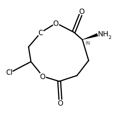 N[C@H]1CCC(=O)OC(Cl)CCOC1=O